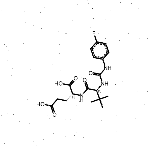 CC(C)(C)[C@H](NC(=O)Nc1ccc(F)cc1)C(=O)N[C@H](CCC(=O)O)C(=O)O